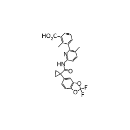 Cc1ccc(NC(=O)C2(c3ccc4c(c3)OC(F)(F)O4)CC2)nc1-c1cccc(C(=O)O)c1C